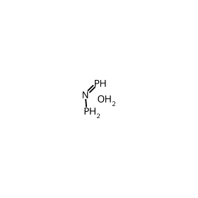 O.P=NP